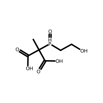 CC(C(=O)O)(C(=O)O)[PH](=O)CCO